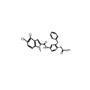 Cn1c(C(=O)Nc2ccc(CC(=O)O)c(Cc3ccccc3)c2)cc2c(Cl)c(Cl)ccc21